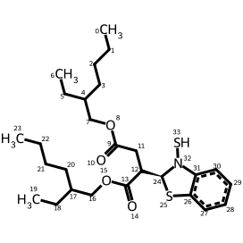 CCCCC(CC)COC(=O)CC(C(=O)OCC(CC)CCCC)[C@@H]1Sc2ccccc2N1S